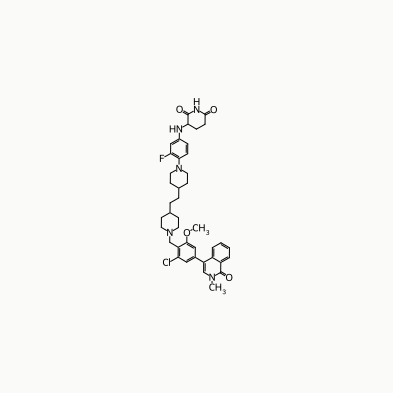 COc1cc(-c2cn(C)c(=O)c3ccccc23)cc(Cl)c1CN1CCC(CCC2CCN(c3ccc(NC4CCC(=O)NC4=O)cc3F)CC2)CC1